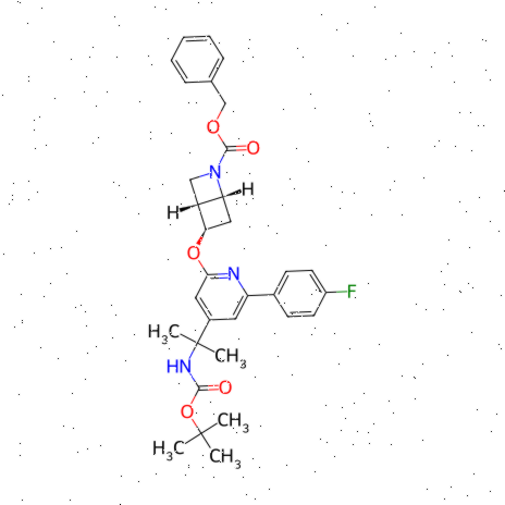 CC(C)(C)OC(=O)NC(C)(C)c1cc(O[C@@H]2C[C@@H]3[C@H]2CN3C(=O)OCc2ccccc2)nc(-c2ccc(F)cc2)c1